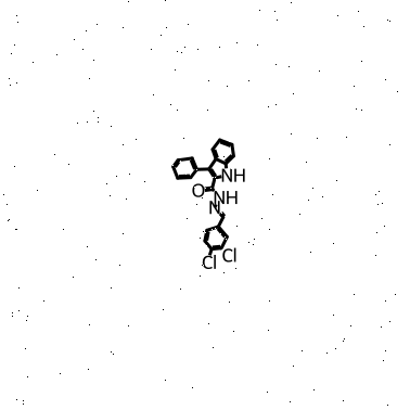 O=C(NN=Cc1ccc(Cl)c(Cl)c1)c1[nH]c2ccccc2c1-c1ccccc1